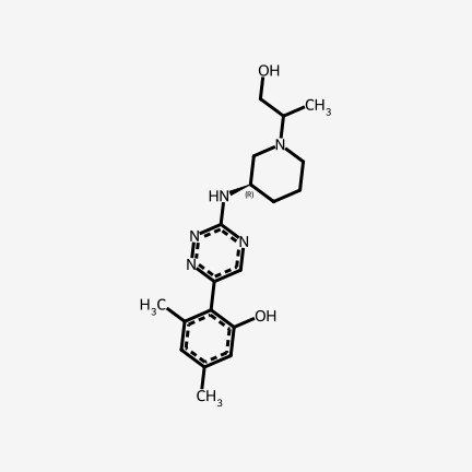 Cc1cc(C)c(-c2cnc(N[C@@H]3CCCN(C(C)CO)C3)nn2)c(O)c1